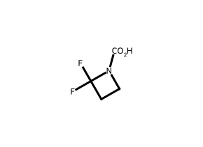 O=C(O)N1CCC1(F)F